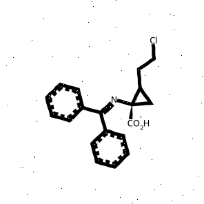 O=C(O)[C@]1(N=C(c2ccccc2)c2ccccc2)CC1CCCl